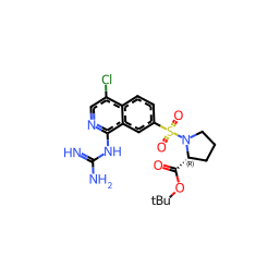 CC(C)(C)OC(=O)[C@H]1CCCN1S(=O)(=O)c1ccc2c(Cl)cnc(NC(=N)N)c2c1